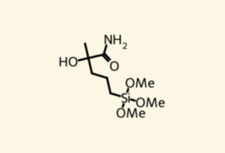 CO[Si](CCCC(C)(O)C(N)=O)(OC)OC